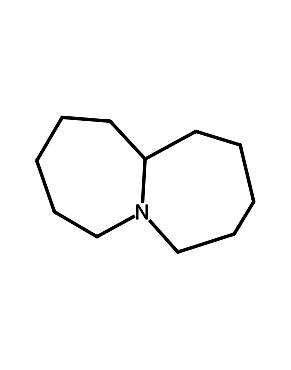 C1CCC2CCCCCN2CC1